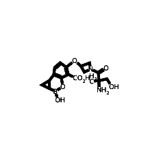 CC(N)(CO)C(=O)N1CC(Oc2ccc3c(c2C(=O)O)OB(O)C2CC32)C1